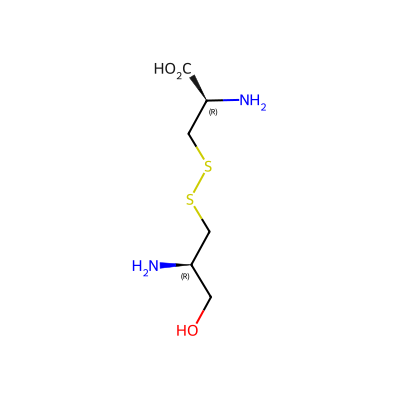 N[C@H](CO)CSSC[C@H](N)C(=O)O